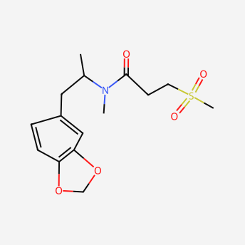 CC(Cc1ccc2c(c1)OCO2)N(C)C(=O)CCS(C)(=O)=O